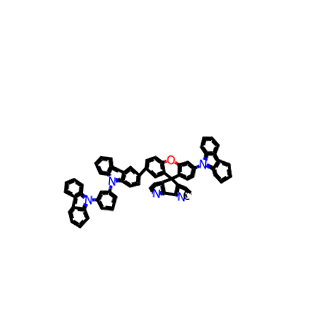 c1cc(-n2c3ccccc3c3ccccc32)cc(-n2c3ccccc3c3cc(-c4ccc5c(c4)C4(c6ccc(-n7c8ccccc8c8ccccc87)cc6O5)c5cccnc5-c5ncccc54)ccc32)c1